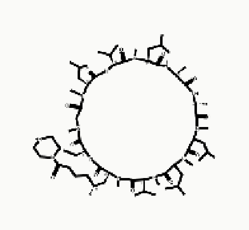 CC[C@@H]1NC(=O)[C@H](C[C@H](C)CCCC(=O)N2CCNCC2)N(C)C(=O)[C@H](C(C)C)N(C)C(=O)C(CC(C)C)N(C)C(=O)C(CC(C)C)N(C)C(=O)[C@@H](C)NC(=O)[C@H](C)NC(=O)[C@H](CC(C)C)N(C)C(=O)[C@H](C(C)C)NC(=O)[C@H](CC(C)C)N(C)C(=O)CN(C)C1=O